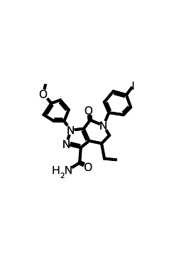 CCC1CN(c2ccc(I)cc2)C(=O)c2c1c(C(N)=O)nn2-c1ccc(OC)cc1